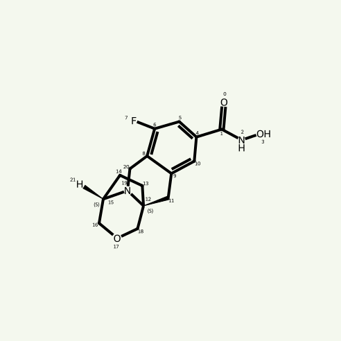 O=C(NO)c1cc(F)c2c(c1)C[C@@]13CC[C@@H](COC1)N3C2